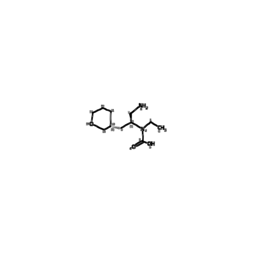 CCN(C(=O)O)[C@H](CN)C[C@H]1CCCOC1